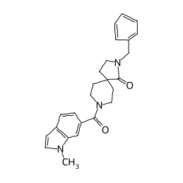 Cn1ccc2ccc(C(=O)N3CCC4(CC3)CCN(Cc3ccccc3)C4=O)cc21